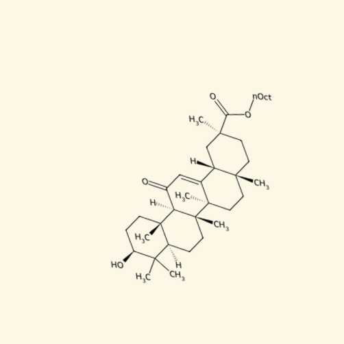 CCCCCCCCOC(=O)[C@@]1(C)CC[C@]2(C)CC[C@]3(C)C(=CC(=O)[C@@H]4[C@@]5(C)CC[C@H](O)C(C)(C)[C@@H]5CC[C@]43C)[C@@H]2C1